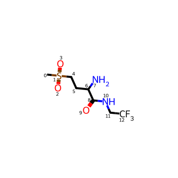 CS(=O)(=O)CCC(N)C(=O)NCC(F)(F)F